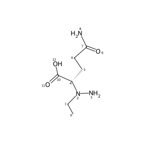 CCN(N)[C@@H](CCC(N)=O)C(=O)O